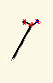 C=C=C=C=C=C=C=C=C=C=C=C=C=C=C=C=C=C=C=C=C=C=C=C=C=C=C=C=C=C=C=C=C=C=C=C(OC(=O)CCCCCN1C(=O)C=CC1=O)OC(=O)CCCCCN1C(=O)C=CC1=O